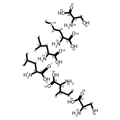 CC(C)CC(N)C(=O)O.CC(C)CC(N)C(=O)O.CCC(C)C(N)C(=O)O.CSCCC(N)C(=O)O.NC(CO)C(=O)O.NC(CS)C(=O)O